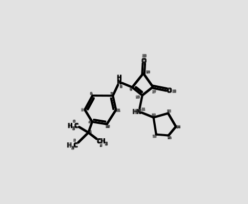 CC(C)(C)c1ccc(Nc2c(NC3CCCC3)c(=O)c2=O)cc1